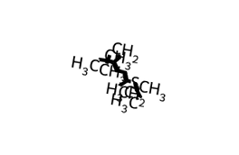 C=C/C(=C\C=C(/C=C)C(C)(C)CC)SC(C)(C)CC